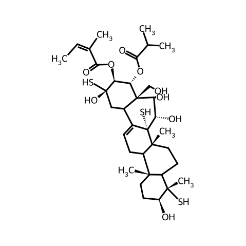 C/C=C(/C)C(=O)O[C@H]1[C@H](OC(=O)C(C)C)[C@@]2(CO)C(C[C@]1(O)S)C1=CCC3[C@@]4(C)CC[C@H](O)[C@@](C)(S)C4CC[C@@]3(C)[C@]1(S)[C@@H](O)[C@H]2O